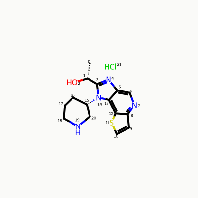 C[C@@H](O)c1nc2cnc3ccsc3c2n1[C@H]1CCCNC1.Cl